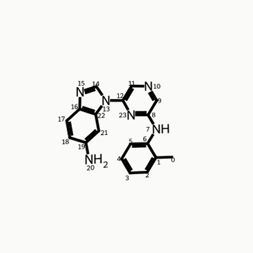 Cc1ccccc1Nc1cncc(-n2cnc3ccc(N)cc32)n1